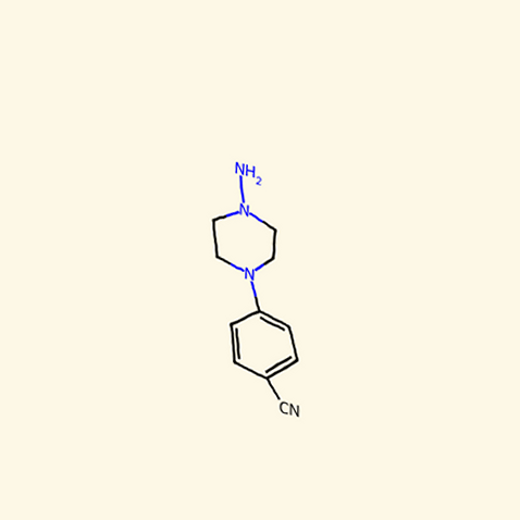 N#Cc1ccc(N2CCN(N)CC2)cc1